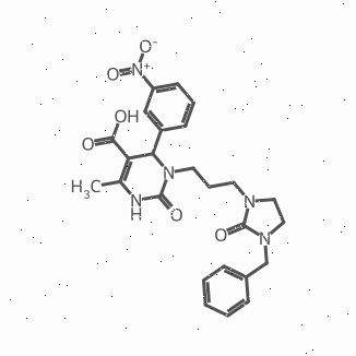 CC1=C(C(=O)O)C(c2cccc([N+](=O)[O-])c2)N(CCCN2CCN(Cc3ccccc3)C2=O)C(=O)N1